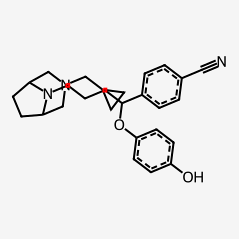 N#Cc1ccc(C(CCCN2C3CCC2CN(CC2CC2)C3)Oc2ccc(O)cc2)cc1